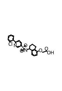 O=C(O)COc1cccc2c1CCCC2NS(=O)(=O)c1ccc(-c2ccccc2Cl)nc1